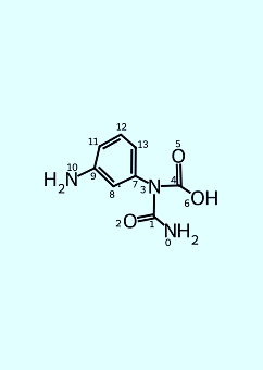 NC(=O)N(C(=O)O)c1[c]c(N)ccc1